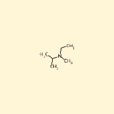 [CH2]C(C)N(C)CC